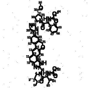 CC[C@H](C)CN(Cc1nc2ccc3cc4c(cc3c2[nH]1)OCc1cc(-c2cnc([C@@H]3C[C@H](COC)CN3C(=O)[C@H](NC(=O)OC)c3ccccc3)[nH]2)ccc1-4)C(=O)[C@@H](NC(=O)OC)C(C)C